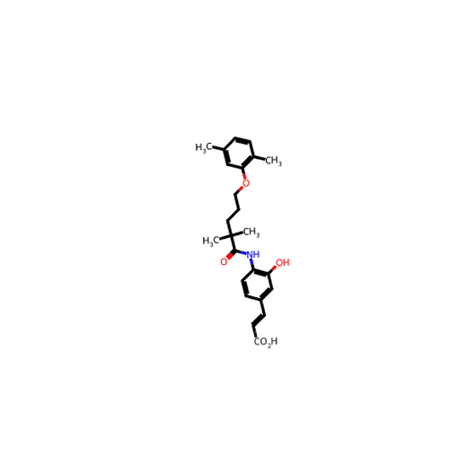 Cc1ccc(C)c(OCCCC(C)(C)C(=O)Nc2ccc(C=CC(=O)O)cc2O)c1